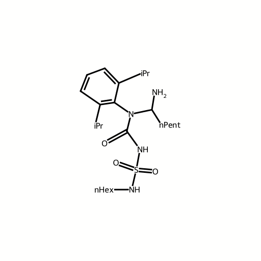 CCCCCCNS(=O)(=O)NC(=O)N(c1c(C(C)C)cccc1C(C)C)C(N)CCCCC